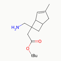 CC1=CC2C(C1)CC2(CN)CC(=O)OC(C)(C)C